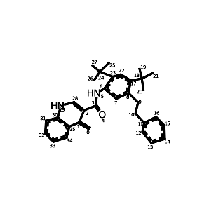 C=C1C(C(=O)Nc2cc(CCc3ccccc3)c(C(C)(C)C)cc2C(C)(C)C)=CNc2ccccc21